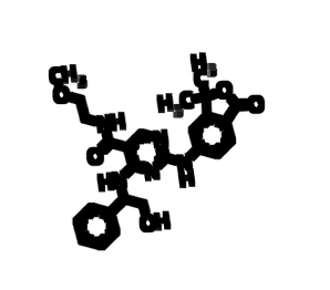 COCCNC(=O)c1cnc(Nc2ccc3c(c2)C(C)(C)OC3=O)nc1NC(CO)c1ccccc1